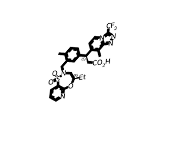 CC[C@@H]1CN(Cc2cc([C@H](CC(=O)O)c3ccn4c(C(F)(F)F)nnc4c3C)ccc2C)S(=O)(=O)c2cccnc2O1